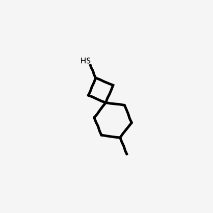 CC1CCC2(CC1)CC(S)C2